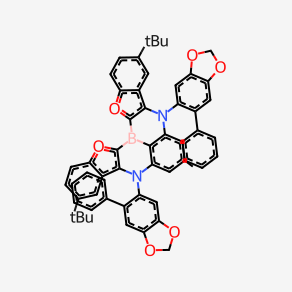 Cc1cc2c3c(c1)N(c1cc4c(cc1-c1ccccc1)OCO4)c1c(oc4ccc(C(C)(C)C)cc14)B3c1oc3ccc(C(C)(C)C)cc3c1N2c1cc2c(cc1-c1ccccc1)OCO2